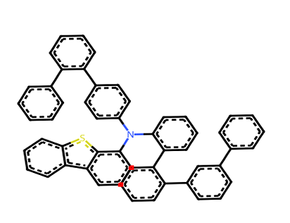 c1ccc(-c2cccc(-c3ccccc3-c3ccccc3N(c3ccc(-c4ccccc4-c4ccccc4)cc3)c3cccc4c3sc3ccccc34)c2)cc1